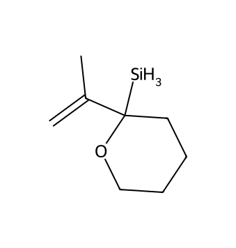 C=C(C)C1([SiH3])CCCCO1